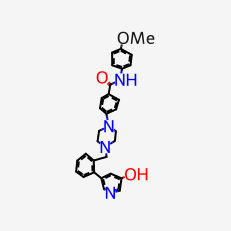 COc1ccc(NC(=O)c2ccc(N3CCN(Cc4ccccc4-c4cncc(O)c4)CC3)cc2)cc1